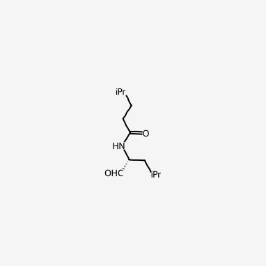 CC(C)CCC(=O)N[C@@H](C=O)CC(C)C